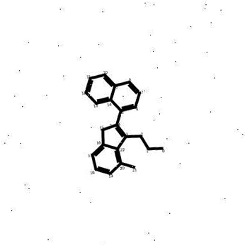 CCCC1=C(c2cccc3ccccc23)[CH]c2cccc(C)c21